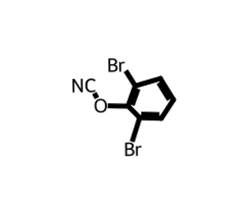 N#COc1c(Br)cccc1Br